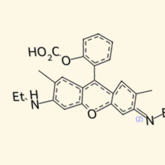 CC/N=c1/cc2oc3cc(NCC)c(C)cc3c(-c3ccccc3OC(=O)O)c-2cc1C